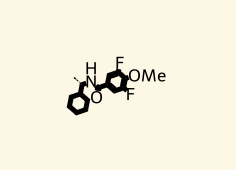 COc1c(F)cc(C(=O)N[C@@H](C)C2CCCCC2)cc1F